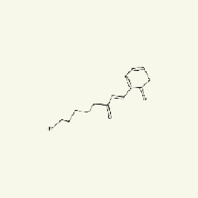 CC(C)CCCCCC(=O)C=CC1=CC=CCC1=O